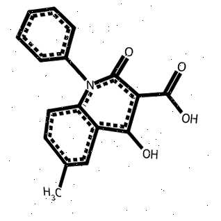 Cc1ccc2c(c1)c(O)c(C(=O)O)c(=O)n2-c1ccccc1